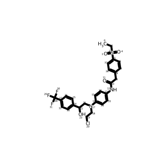 CCS(=O)(=O)c1ccc(CC(=O)Nc2ccc(N(CCCl)CC(O)c3ccc(C(F)(F)F)cc3)cc2)cc1